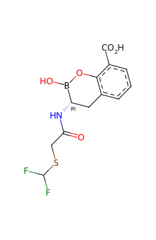 O=C(CSC(F)F)N[C@H]1Cc2cccc(C(=O)O)c2OB1O